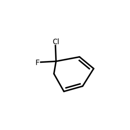 FC1(Cl)C=CC=CC1